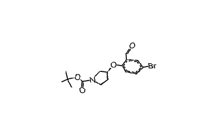 CC(C)(C)OC(=O)N1CC[C@H](Oc2ccc(Br)cc2C=O)C1